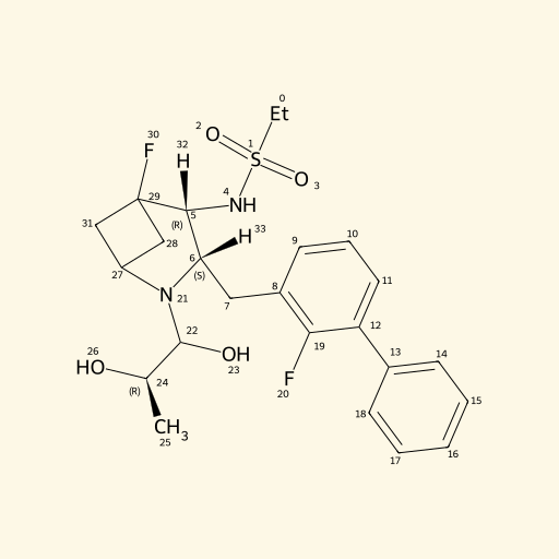 CCS(=O)(=O)N[C@@H]1[C@H](Cc2cccc(-c3ccccc3)c2F)N(C(O)[C@@H](C)O)C2CC1(F)C2